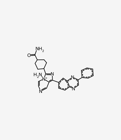 NC(=O)C1CCC(C2=NC(c3ccc4ncc(-c5ccccc5)nc4c3)=C3C=NC=C[N+]23N)CC1